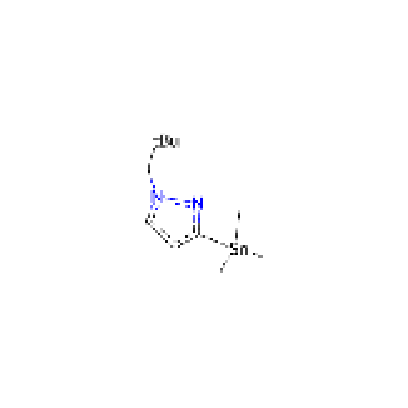 CC(C)(C)Cn1cc[c]([Sn]([CH3])([CH3])[CH3])n1